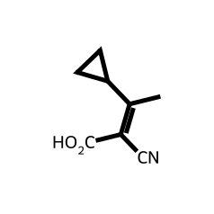 C/C(=C(\C#N)C(=O)O)C1CC1